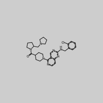 O=C(C1CCN(c2nccc3nc(NCc4ccccc4Cl)ncc23)CC1)N1CCCC1CN1CCCC1